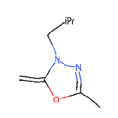 C=C1OC(C)=NN1CC(C)C